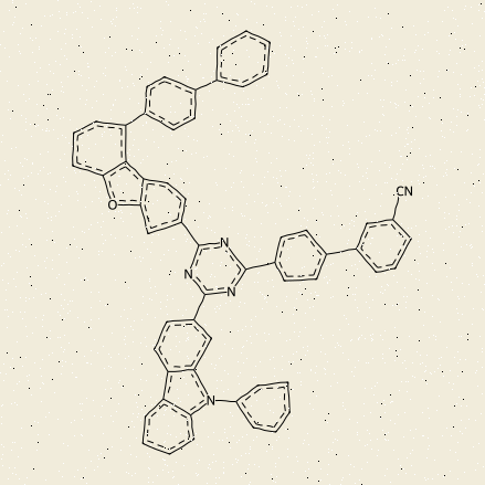 N#Cc1cccc(-c2ccc(-c3nc(-c4ccc5c(c4)oc4cccc(-c6ccc(-c7ccccc7)cc6)c45)nc(-c4ccc5c6ccccc6n(-c6ccccc6)c5c4)n3)cc2)c1